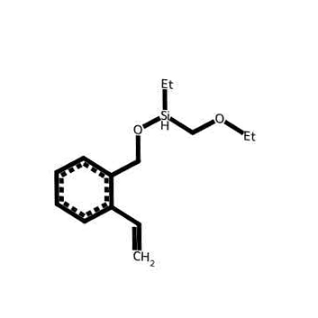 C=Cc1ccccc1CO[SiH](CC)COCC